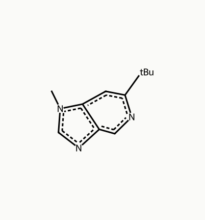 Cn1cnc2cnc(C(C)(C)C)cc21